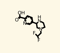 O=C(O)c1ccc(C2CN(CC(F)F)CCN2)cn1